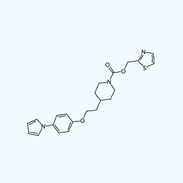 O=C(OCc1nccs1)N1CCC(CCOc2ccc(-n3cccc3)cc2)CC1